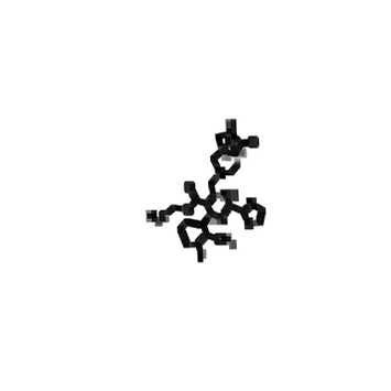 CCOC(=O)C1=C(CN2CC[C@@]34O[C@@]3(CNC4=O)C2)NC(c2nccs2)=N[C@H]1c1cccc(F)c1C